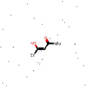 CCCCC(=O)/C=C(\O)CC